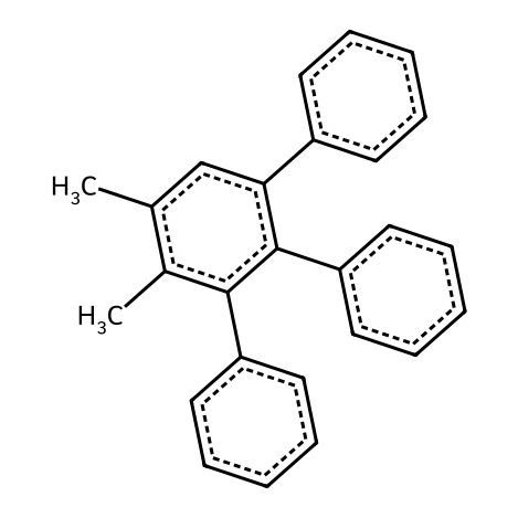 Cc1cc(-c2ccccc2)c(-c2ccccc2)c(-c2ccccc2)c1C